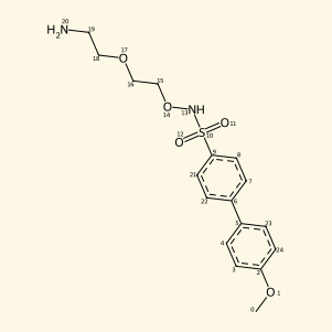 COc1ccc(-c2ccc(S(=O)(=O)NOCCOCCN)cc2)cc1